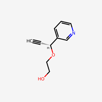 C#C[C@@H](OCCO)c1cccnc1